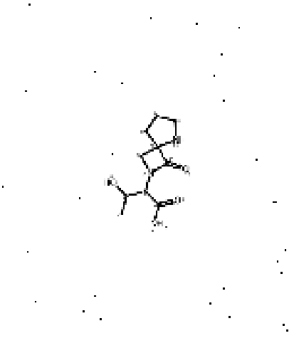 CC(O)C(C(N)=O)N1CC2(CCCN2)C1=O